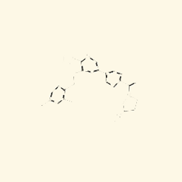 Nc1ncc(-c2ccc(C(=O)N3CC[C@H](N)C3)cc2)cc1OCc1ccc(Cl)cc1Cl